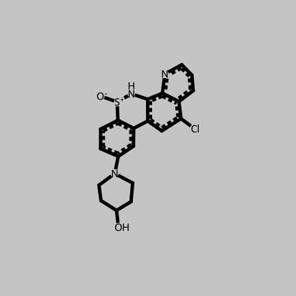 [O-][S+]1Nc2c(cc(Cl)c3cccnc23)-c2cc(N3CCC(O)CC3)ccc21